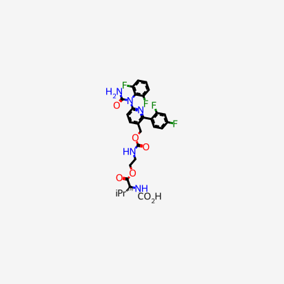 CC(C)[C@H](NC(=O)O)C(=O)OCCNC(=O)OCc1ccc(N(C(N)=O)c2c(F)cccc2F)nc1-c1ccc(F)cc1F